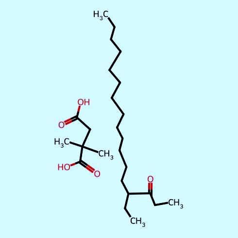 CC(C)(CC(=O)O)C(=O)O.CCCCCCCCCCCCCC(CC)C(=O)CC